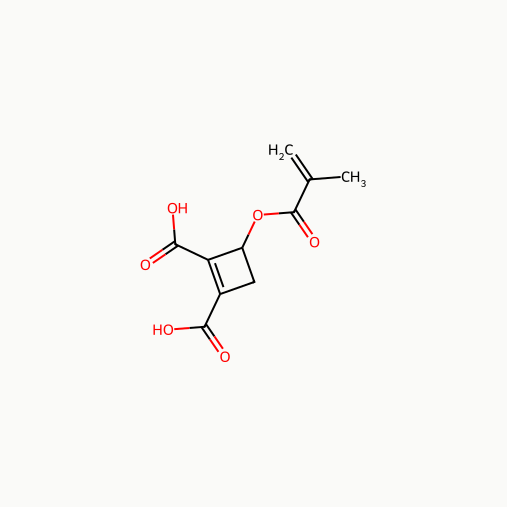 C=C(C)C(=O)OC1CC(C(=O)O)=C1C(=O)O